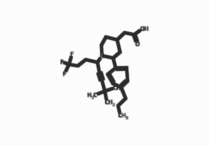 CCCc1ccc(C2CC(CC(=O)O)CCN2C(C#CC(C)(C)C)CCC(F)(F)F)cc1